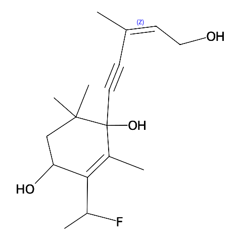 CC1=C(C(C)F)C(O)CC(C)(C)C1(O)C#C/C(C)=C\CO